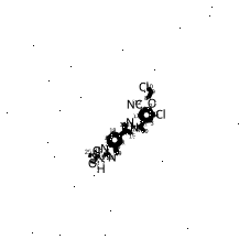 CC(c1cc(Cl)c(OCCCl)c(C#N)c1)n1cc(-c2ccc3nc(NS(C)(=O)=O)ncc3c2)cn1